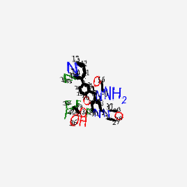 NC1=N[C@@]2(COC1)c1cc(-c3cccnc3F)ccc1Oc1c2cc(N2CCOCC2)nc1F.O=C(O)C(F)(F)F